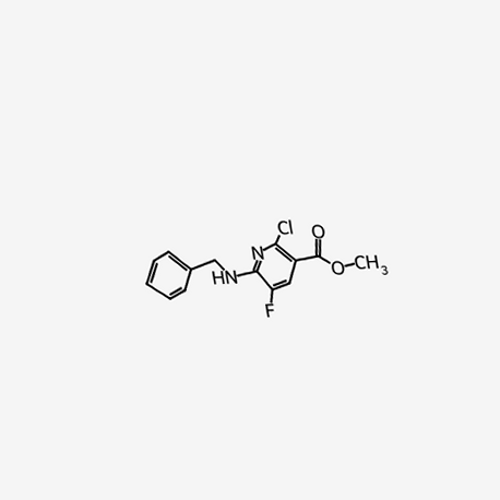 COC(=O)c1cc(F)c(NCc2ccccc2)nc1Cl